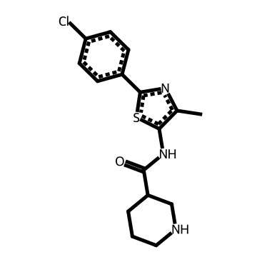 Cc1nc(-c2ccc(Cl)cc2)sc1NC(=O)C1CCCNC1